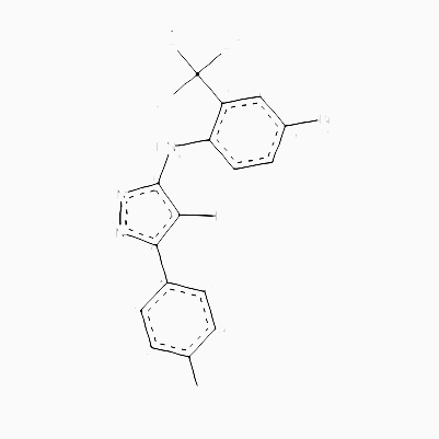 Oc1ccc(-c2[nH]nc(Nc3ccc(Br)cc3C(F)(F)F)c2F)cc1